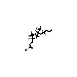 [CH2]=[Cf][C](=O)OCC(F)(OC(F)(F)C(F)(OC(F)(F)CCC)C(F)(F)F)C(F)(F)F